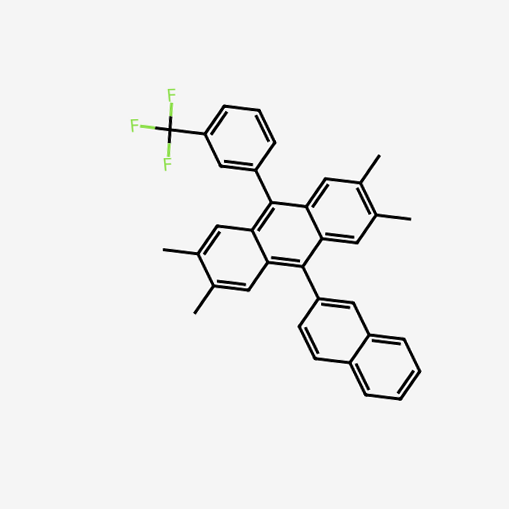 Cc1cc2c(-c3cccc(C(F)(F)F)c3)c3cc(C)c(C)cc3c(-c3ccc4ccccc4c3)c2cc1C